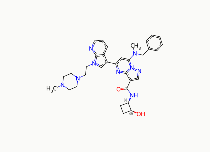 CN1CCN(CCn2cc(-c3cc(N(C)Cc4ccccc4)n4ncc(C(=O)N[C@@H]5CC[C@@H]5O)c4n3)c3cccnc32)CC1